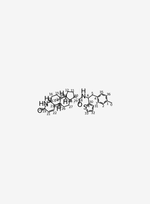 Cc1ccc(CC(NC(=O)[C@H]2CC[C@H]3[C@@H]4CC[C@H]5NC(=O)C=C[C@]5(C)[C@H]4CC[C@]23C)c2cccs2)cc1